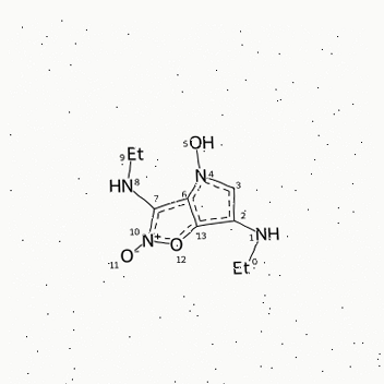 CCNc1cn(O)c2c(NCC)[n+]([O-])oc12